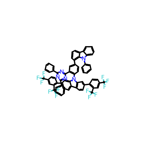 FC(F)(F)c1ccc(-c2ccc3c4ccc(-c5ccc(C(F)(F)F)cc5C(F)(F)F)cc4n(-c4ccc(-c5cccc6c7ccccc7n(-c7ccccc7)c56)cc4-c4nc(-c5ccccc5)nc(-c5ccccc5)n4)c3c2)c(C(F)(F)F)c1